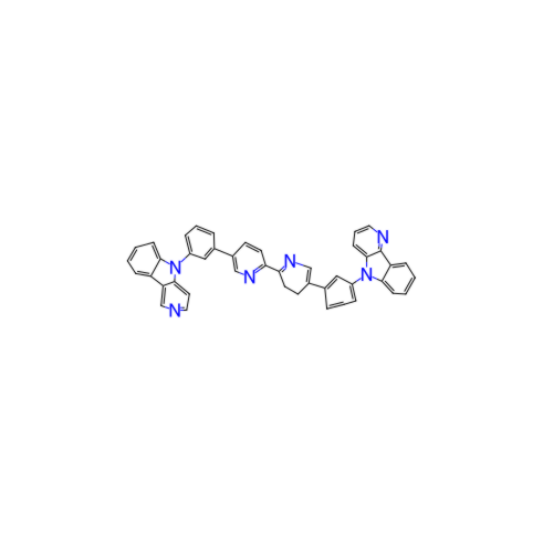 C1=C(c2cccc(-n3c4ccccc4c4ncccc43)c2)CCC(c2ccc(-c3cccc(-n4c5ccccc5c5cnccc54)c3)cn2)=N1